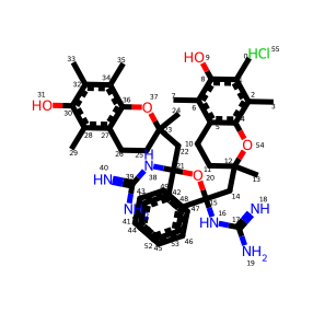 Cc1c(C)c2c(c(C)c1O)CCC(C)(CC(NC(=N)N)(OC(CC1(C)CCc3c(C)c(O)c(C)c(C)c3O1)(NC(=N)N)c1ccccc1)c1ccccc1)O2.Cl